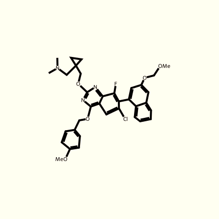 COCOc1cc(-c2c(Cl)cc3c(OCc4ccc(OC)cc4)nc(OCC4(CN(C)C)CC4)nc3c2F)c2ccccc2c1